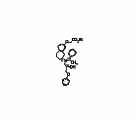 CCOC(=O)COc1ccc2c(c1)C[C@H](N(C[C@@H](O)COc1ccccc1)[C@H](C)c1ccccc1)CCC2